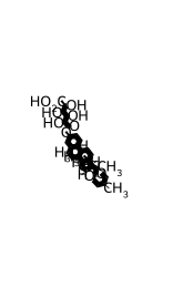 C[C@@H]1CC[C@@]2(OC1)O[C@H]1C[C@H]3[C@@H]4CCC5C[C@@H](OC(=O)[C@H](O)[C@@H](O)[C@H](O)[C@H](O)C(=O)O)CC[C@]5(C)[C@H]4CC[C@]3(C)[C@H]1[C@@H]2C